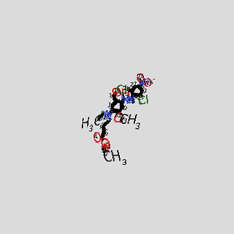 CCOC(=O)CCCN(CC)c1cc(CO)c(N=Nc2c(Cl)cc([N+](=O)[O-])cc2Cl)cc1OC